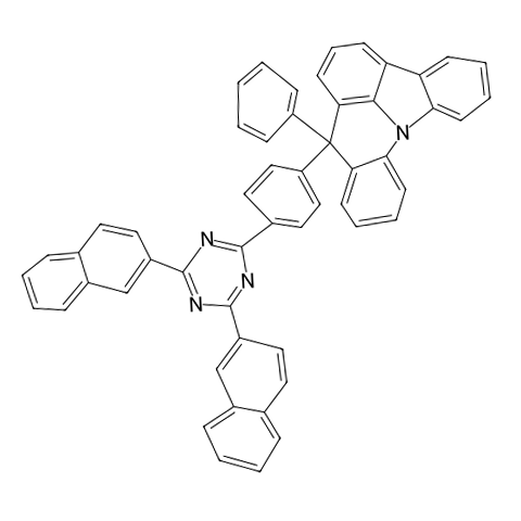 c1ccc(C2(c3ccc(-c4nc(-c5ccc6ccccc6c5)nc(-c5ccc6ccccc6c5)n4)cc3)c3ccccc3-n3c4ccccc4c4cccc2c43)cc1